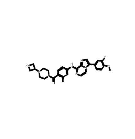 COc1ccc(-c2cnc3c(Nc4ccc(C(=O)N5CCN(C6CNC6)CC5)c(C)c4)nccn23)cc1F